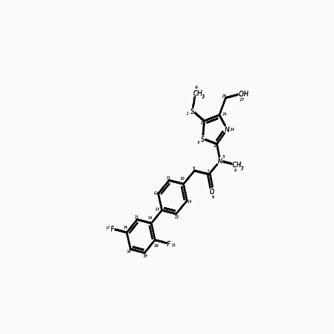 CSc1sc(N(C)C(=O)Cc2ccc(-c3cc(F)ccc3F)cc2)nc1CO